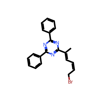 C/C(=C\C=C/CBr)c1nc(-c2ccccc2)nc(-c2ccccc2)n1